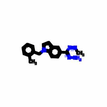 C/N=N\C(=N/N)c1ccc2c(ccn2Cc2ccccc2C)c1